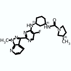 C[C@@H]1CCN(C(=O)N[C@@H]2CCC[C@H](Nc3nc(-c4nn(C)c5ncccc45)ncc3F)C2)C1